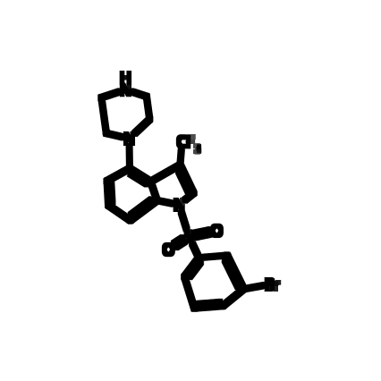 O=S(=O)(c1cccc(Br)c1)n1cc(C(F)(F)F)c2c(N3CCNCC3)cccc21